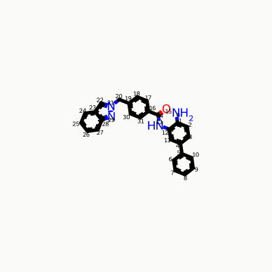 Nc1ccc(-c2ccccc2)cc1NC(=O)c1ccc(Cn2cc3ccccc3n2)cc1